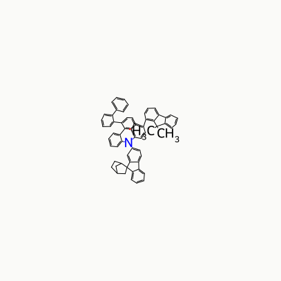 CC1(C)c2ccccc2-c2cccc(-c3ccc(N(c4ccc5c(c4)C4(CC6CCC4C6)c4ccccc4-5)c4ccccc4-c4ccccc4-c4ccccc4-c4ccccc4)cc3)c21